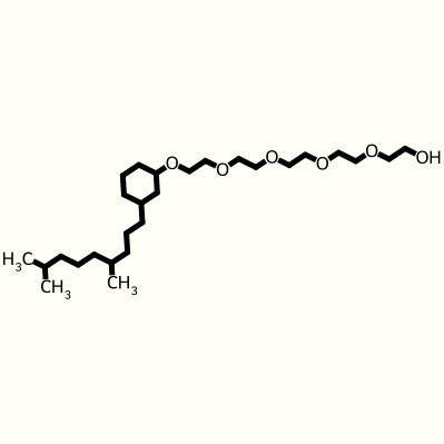 CC(C)CCCC(C)CCCC1CCCC(OCCOCCOCCOCCOCCO)C1